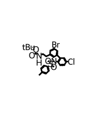 Cc1ccc(S(=O)(=O)n2c3ccc(Cl)cc3c3cc(Br)cc(CCNC(=O)OC(C)(C)C)c32)cc1